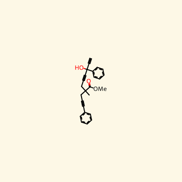 C#CC(O)(C#CCC(C)(CC#Cc1ccccc1)C(=O)OC)c1ccccc1